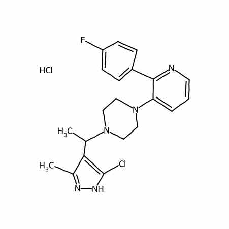 Cc1n[nH]c(Cl)c1C(C)N1CCN(c2cccnc2-c2ccc(F)cc2)CC1.Cl